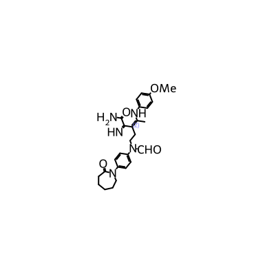 COc1ccc(N/C(C)=C(/CCN(C=O)c2ccc(N3CCCCCC3=O)cc2)C(=N)C(N)=O)cc1